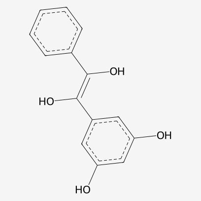 OC(=C(O)c1cc(O)cc(O)c1)c1ccccc1